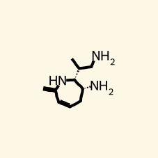 C=C1C=CC[C@@H](N)[C@@H](C(C)CN)N1